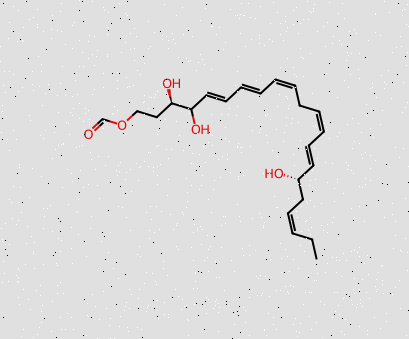 CC/C=C\C[C@H](O)/C=C/C=C\C\C=C/C=C/C=C/C(O)[C@H](O)CCOC=O